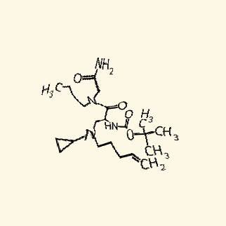 C=CCCCN(C[C@H](NC(=O)OC(C)(C)C)C(=O)N(CCC)CC(N)=O)C1CC1